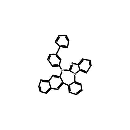 c1ccc(-c2cccc(N3c4cc5ccccc5cc4-c4ccccc4-n4c3nc3ccccc34)c2)cc1